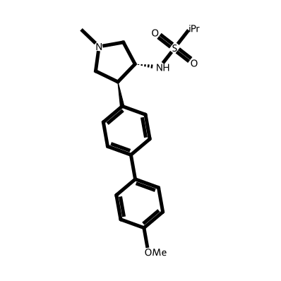 COc1ccc(-c2ccc([C@H]3CN(C)C[C@@H]3NS(=O)(=O)C(C)C)cc2)cc1